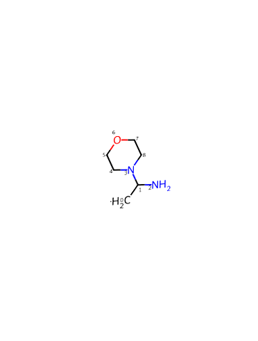 [CH2]C(N)N1CCOCC1